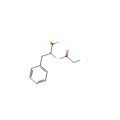 CCC(=O)NC(Cc1ccccc1)C(O)=S